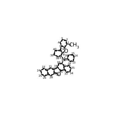 Cc1cccc2c1oc1c(N(c3ccccc3)c3cc4c5cc6ccccc6cc5oc4c4ccccc34)cccc12